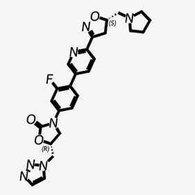 O=C1O[C@@H](Cn2ccnn2)CN1c1ccc(-c2ccc(C3=NO[C@H](CN4CCCC4)C3)nc2)c(F)c1